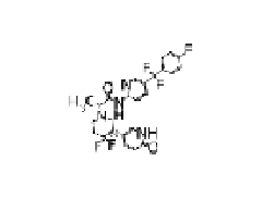 CC(C(=O)Nc1ccc(C(F)(F)c2ccc(F)cc2)cn1)N1CCC(F)(F)[C@@H](c2ccc(=O)[nH]c2)C1